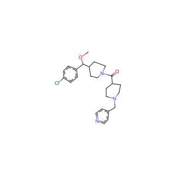 COC(c1ccc(Cl)cc1)C1CCN(C(=O)C2CCN(Cc3ccncc3)CC2)CC1